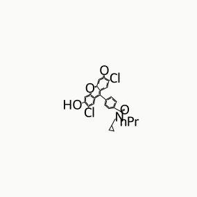 CCCN(CC1CC1)C(=O)c1ccc(-c2c3cc(Cl)c(=O)cc-3oc3cc(O)c(Cl)cc23)cc1